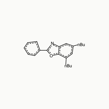 CCCCc1cc(CCCC)c2oc(-c3ccccc3)nc2c1